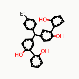 CCc1ccc(C(c2ccc(O)c(-c3ccccc3O)c2)c2ccc(O)c(-c3ccccc3O)c2)cc1